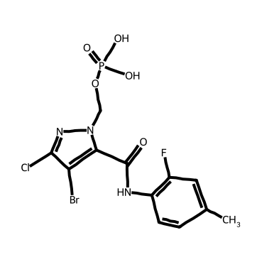 Cc1ccc(NC(=O)c2c(Br)c(Cl)nn2COP(=O)(O)O)c(F)c1